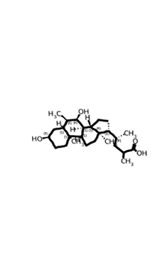 CC(C[C@@H](C)[C@H]1CC[C@H]2[C@@H]3[C@H](O)[C@H](C)[C@@H]4C[C@H](O)CC[C@]4(C)[C@H]3CC[C@]12C)C(=O)O